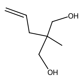 C=CCC(C)(CO)CO